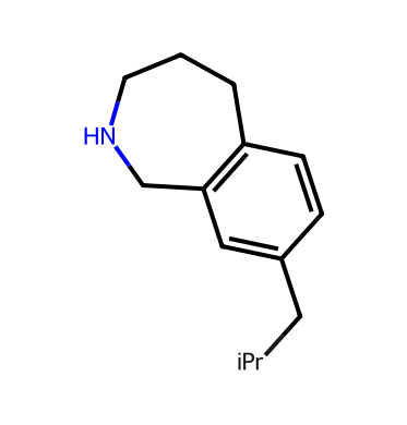 CC(C)Cc1ccc2c(c1)CNCCC2